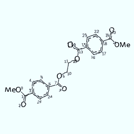 COC(=O)c1ccc(C(=O)OCCOC(=O)c2ccc(C(=O)OC)cc2)cc1